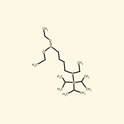 CCO[SiH](CCCCN(CC)[Si](C(C)C)(C(C)C)C(C)C)OCC